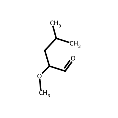 COC(C=O)CC(C)C